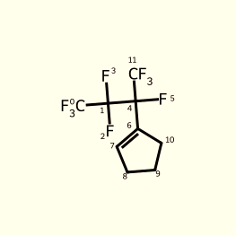 FC(F)(F)C(F)(F)C(F)(C1=CCCC1)C(F)(F)F